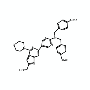 COc1ccc(CN(Cc2ccc(OC)cc2)c2ncc(-c3cn4nc(CO)cc4c(N4CCOCC4)n3)cn2)cc1